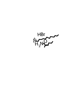 Br.CCCC=C(C)C(N)=O.CCCCCCCCCCCCN(C)C